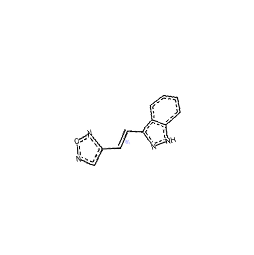 C(=C\c1n[nH]c2ccccc12)/c1cnon1